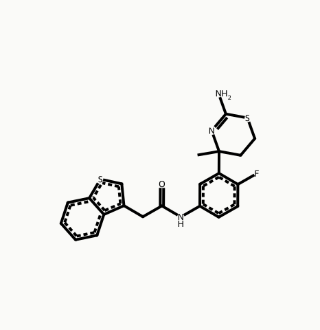 CC1(c2cc(NC(=O)Cc3csc4ccccc34)ccc2F)CCSC(N)=N1